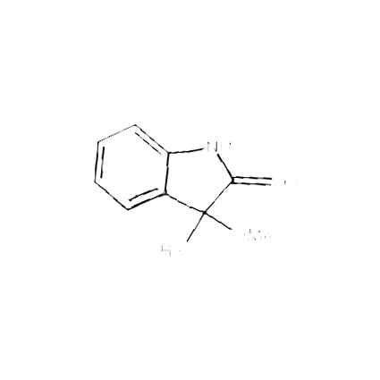 COC1(C)C(=O)Nc2ccccc21